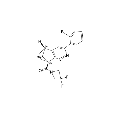 C=C1[C@@H]2CC[C@@]1(C(=O)N1CC(F)(F)C1)c1nnc(-c3ccccc3F)cc12